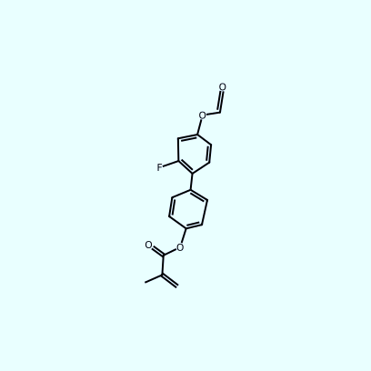 C=C(C)C(=O)Oc1ccc(-c2ccc(OC=O)cc2F)cc1